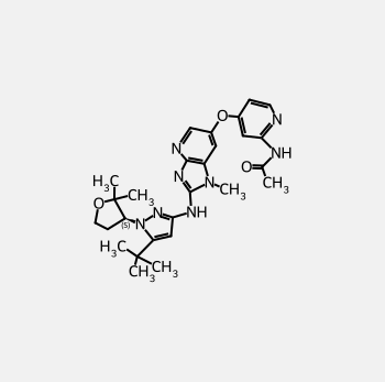 CC(=O)Nc1cc(Oc2cnc3nc(Nc4cc(C(C)(C)C)n([C@H]5CCOC5(C)C)n4)n(C)c3c2)ccn1